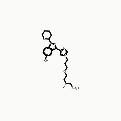 C[C@H](CCOCCCn1cnc(-c2nn(C3CCCCO3)c3ccc(O)cc23)c1)CS(=O)(=O)O